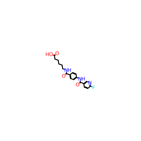 O=C(O)CCCCCNC(=O)c1ccc(NC(=O)c2ccc(F)nc2)cc1